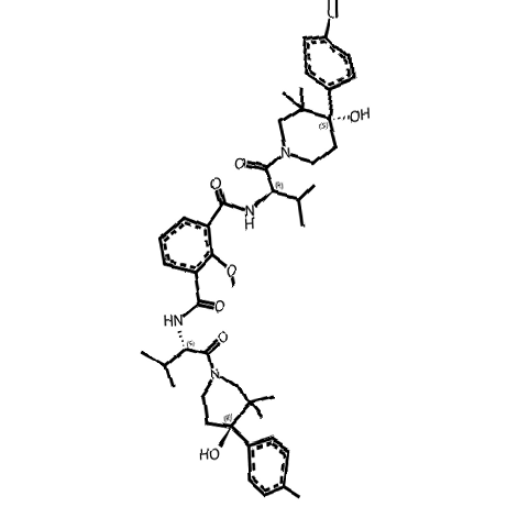 COc1c(C(=O)N[C@H](C(=O)N2CC[C@@](O)(c3ccc(C)cc3)C(C)(C)C2)C(C)C)cccc1C(=O)N[C@@H](C(=O)N1CC[C@](O)(c2ccc(Cl)cc2)C(C)(C)C1)C(C)C